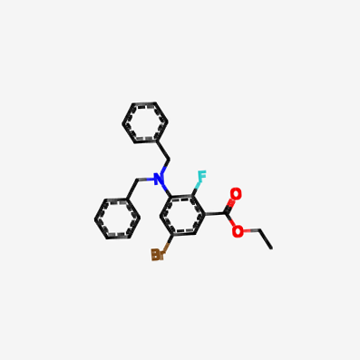 CCOC(=O)c1cc(Br)cc(N(Cc2ccccc2)Cc2ccccc2)c1F